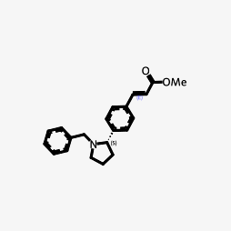 COC(=O)/C=C/c1ccc([C@@H]2CCCN2Cc2ccccc2)cc1